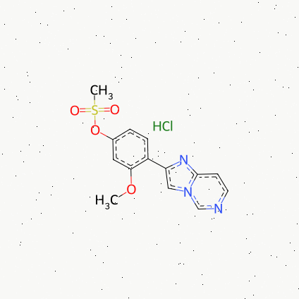 COc1cc(OS(C)(=O)=O)ccc1-c1cn2cnccc2n1.Cl